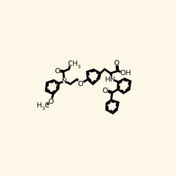 CCC(=O)N(CCOc1ccc(CC(Nc2ccccc2C(=O)c2ccccc2)C(=O)O)cc1)c1cccc(OC)c1